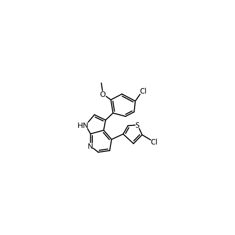 COc1cc(Cl)ccc1-c1c[nH]c2nccc(-c3csc(Cl)c3)c12